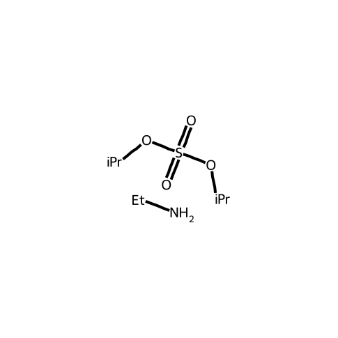 CC(C)OS(=O)(=O)OC(C)C.CCN